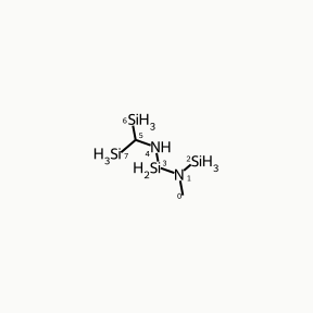 CN([SiH3])[SiH2]NC([SiH3])[SiH3]